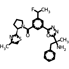 Cc1csc([C@H]2CCCN2C(=O)c2cc(-c3nnc([C@](C)(N)Cc4ccccc4)o3)cc(C(C)F)c2)n1